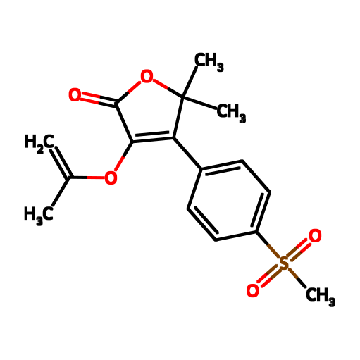 C=C(C)OC1=C(c2ccc(S(C)(=O)=O)cc2)C(C)(C)OC1=O